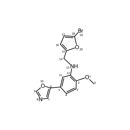 COc1ccc(-c2cnco2)cc1NCc1ccc(Br)o1